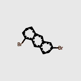 Brc1ccc2cc3c(Br)cccc3cc2c1